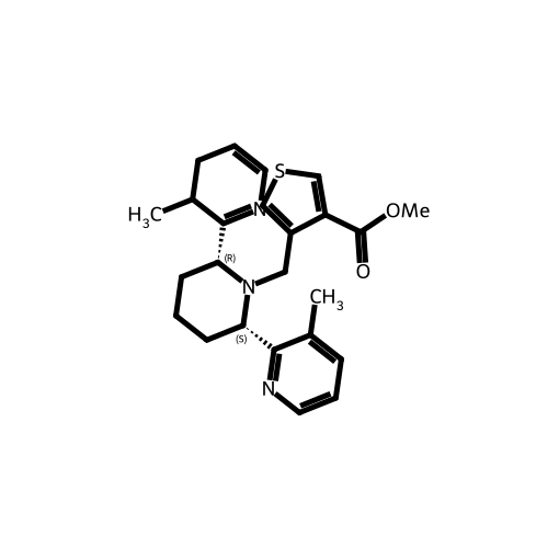 COC(=O)c1cscc1CN1[C@@H](C2=NC=CCC2C)CCC[C@H]1c1ncccc1C